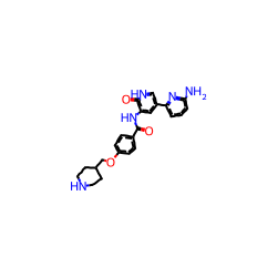 Nc1cccc(-c2c[nH]c(=O)c(NC(=O)c3ccc(OCC4CCNCC4)cc3)c2)n1